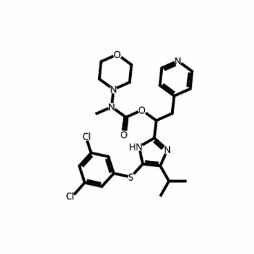 CC(C)c1nc(C(Cc2ccncc2)OC(=O)N(C)N2CCOCC2)[nH]c1Sc1cc(Cl)cc(Cl)c1